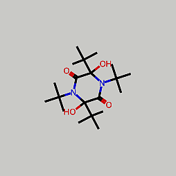 CC(C)(C)N1C(=O)C(O)(C(C)(C)C)N(C(C)(C)C)C(=O)C1(O)C(C)(C)C